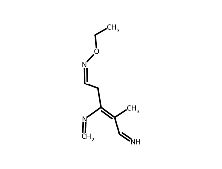 C=N/C(C/C=N\OCC)=C(/C)C=N